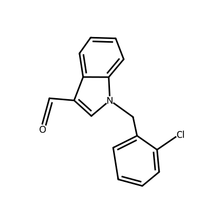 O=Cc1cn(Cc2ccccc2Cl)c2ccccc12